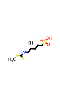 CSC(=S)NCCCCCS(=O)(=O)O.[KH]